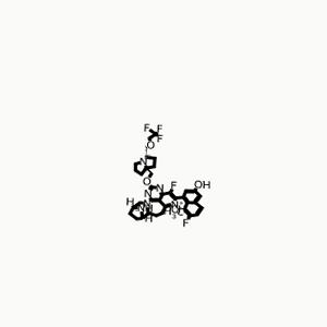 Cc1c(F)ccc2cc(O)cc(-c3c(F)c4nc(OC[C@@]56CCCN5[C@H](COCC(F)(F)F)CC6)nc5c4c([n+]3C)CC[C@@H]3C4CC[C@H](CN53)N4)c12